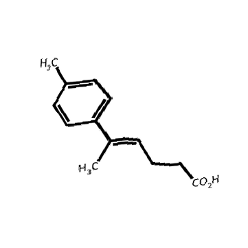 CC(=CCCC(=O)O)c1ccc(C)cc1